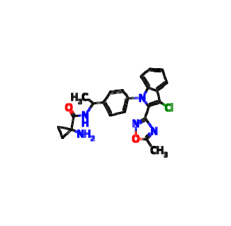 Cc1nc(-c2c(Cl)c3ccccc3n2-c2ccc(C(C)NC(=O)C3(N)CC3)cc2)no1